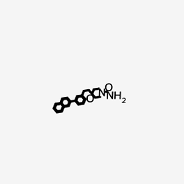 NC(=O)N1CCC2(CCc3cc(-c4ccc5ccccc5c4)ccc3O2)CC1